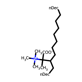 CCCCCCCCCCCCCCCCCC(CCCCCCCCCCC)C(C)(C(=O)[O-])[N+](C)(C)C